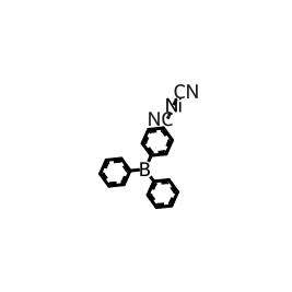 N#[C][Ni][C]#N.c1ccc(B(c2ccccc2)c2ccccc2)cc1